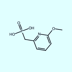 COc1cccc(CP(=O)(O)O)n1